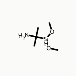 CO[SiH](OC)C(C)(C)N